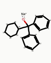 [Na+].[O-]C(c1ccccc1)(c1ccccc1)C1CCCCC1